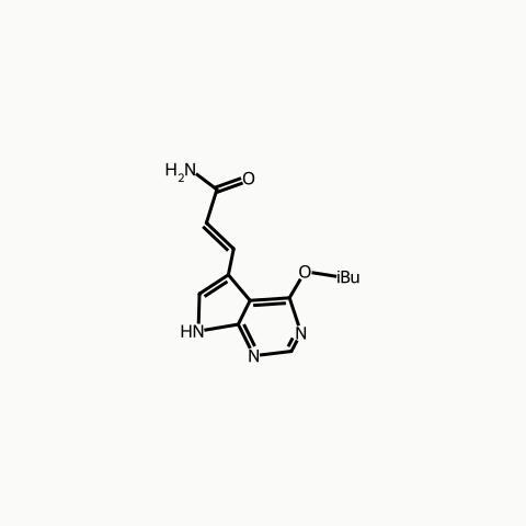 CCC(C)Oc1ncnc2[nH]cc(C=CC(N)=O)c12